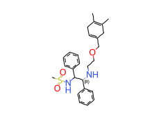 CC1=C(C)CC(COCCN[C@H](c2ccccc2)C(NS(C)(=O)=O)c2ccccc2)=CC1